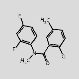 Cc1ccc(Cl)c(C(=O)N(C)c2ccc(F)cc2F)c1